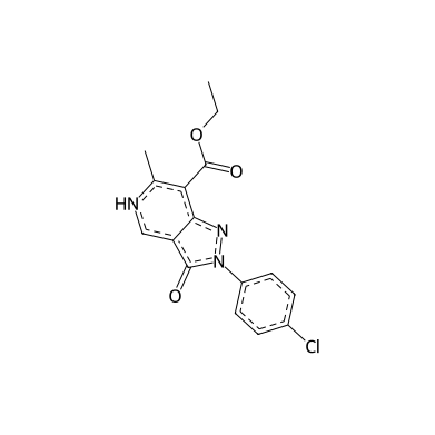 CCOC(=O)c1c2nn(-c3ccc(Cl)cc3)c(=O)c-2c[nH]c1C